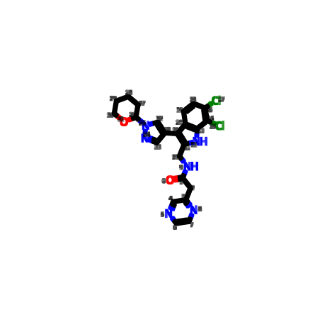 O=C(Cc1cnccn1)NCc1[nH]c2c(Cl)c(Cl)ccc2c1-c1cnn(C2CCCCO2)c1